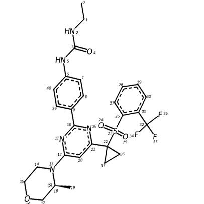 CCNC(=O)Nc1ccc(-c2nc(N3CCOC[C@@H]3C)cc(C3(S(=O)(=O)c4ccccc4C(F)(F)F)CC3)n2)cc1